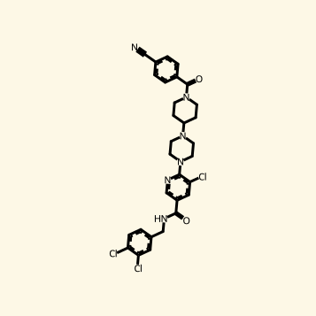 N#Cc1ccc(C(=O)N2CCC(N3CCN(c4ncc(C(=O)NCc5ccc(Cl)c(Cl)c5)cc4Cl)CC3)CC2)cc1